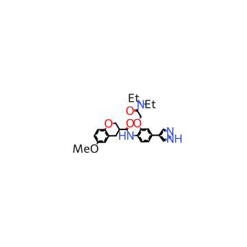 CCN(CC)C(=O)COc1cc(-c2cn[nH]c2)ccc1NC(=O)C1COc2ccc(OC)cc2C1